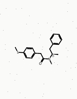 CSc1ccc(CC(=O)N(C)[C@H](C)Cc2ccccc2)cc1